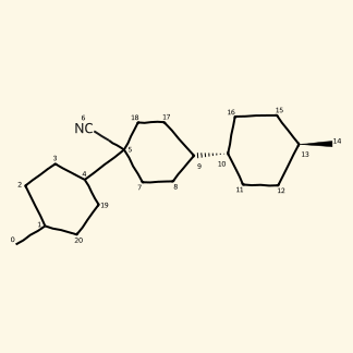 CC1CCC(C2(C#N)CCC([C@H]3CC[C@H](C)CC3)CC2)CC1